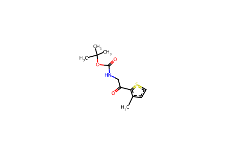 Cc1ccsc1C(=O)CNC(=O)OC(C)(C)C